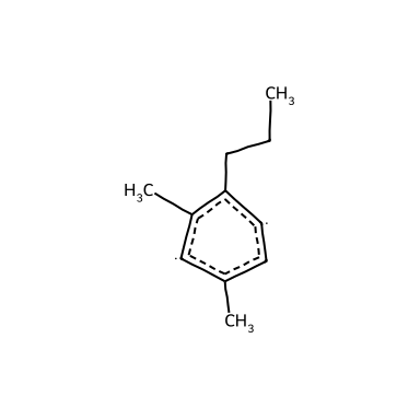 CCCc1[c]cc(C)[c]c1C